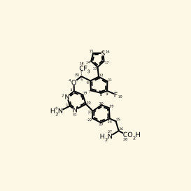 Nc1nc(O[C@@H](c2ccc(F)cc2-c2ccsc2)C(F)(F)F)cc(-c2ccc(CC(N)C(=O)O)cc2)n1